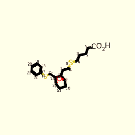 O=C(O)CCCCSCCC1C2CCC(O2)C1CSc1ccccc1